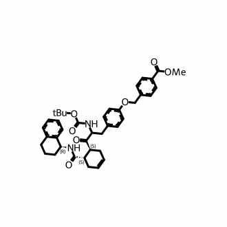 COC(=O)c1ccc(COc2ccc(CC(NC(=O)OC(C)(C)C)C(=O)[C@H]3CC=CC[C@@H]3C(=O)N[C@@H]3CCCc4ccccc43)cc2)cc1